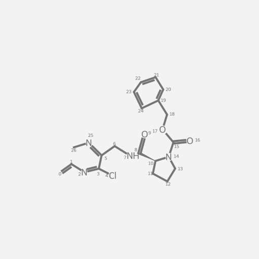 C=C/N=C(Cl)\C(CNC(=O)[C@@H]1CCCN1C(=O)OCc1ccccc1)=N/C